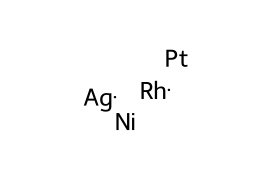 [Ag].[Ni].[Pt].[Rh]